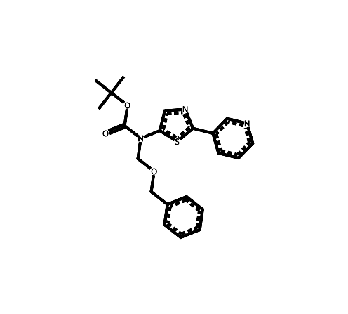 CC(C)(C)OC(=O)N(COCc1ccccc1)c1cnc(-c2cccnc2)s1